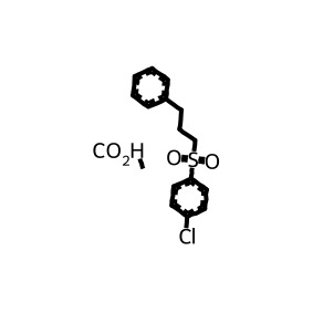 CC(=O)O.O=S(=O)(CCCc1ccccc1)c1ccc(Cl)cc1